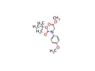 COC(=O)CN(C(=O)OC(C)(C)C)c1ccc(OC)cc1